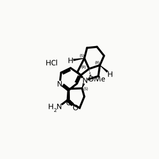 CO[C@@]1(c2ccnc(C(N)=O)c2)[C@@H]2CCC[C@H]1CN([C@H]1CCOC1)C2.Cl